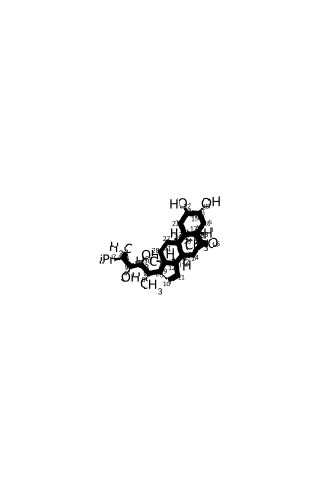 CC(C)[C@@H](C)[C@@H](O)[C@H](O)[C@@H](C)[C@H]1CC[C@H]2[C@@H]3CC(=O)[C@H]4C[C@@H](O)[C@H](O)C[C@]4(C)[C@H]3CC[C@]12C